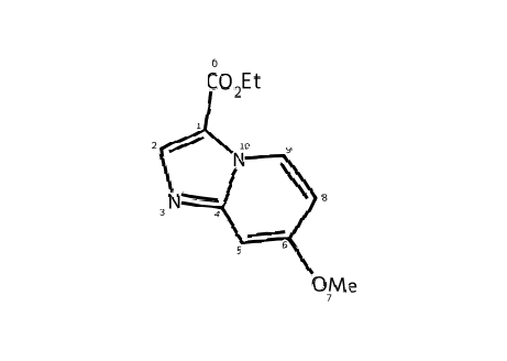 CCOC(=O)c1cnc2cc(OC)ccn12